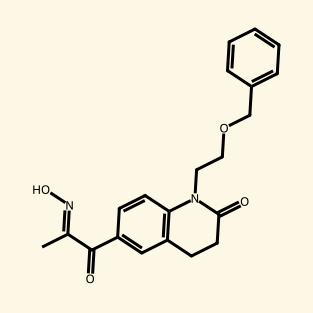 CC(=NO)C(=O)c1ccc2c(c1)CCC(=O)N2CCOCc1ccccc1